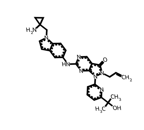 C=CCn1c(=O)c2cnc(Nc3ccc4c(ccn4CC4(N)CC4)c3)nc2n1-c1cccc(C(C)(C)O)n1